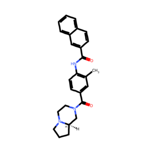 Cc1cc(C(=O)N2CCN3CCC[C@@H]3C2)ccc1NC(=O)c1ccc2ccccc2c1